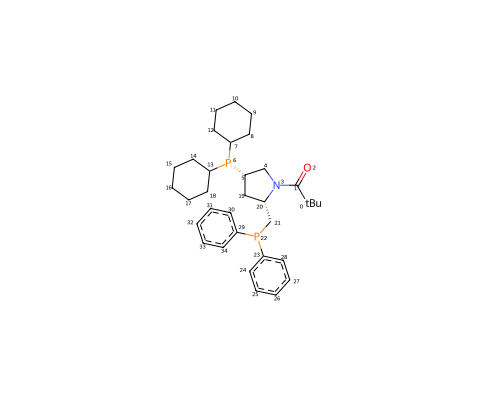 CC(C)(C)C(=O)N1C[C@@H](P(C2CCCCC2)C2CCCCC2)C[C@H]1CP(c1ccccc1)c1ccccc1